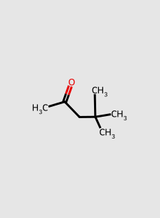 CC(=O)CC(C)(C)C